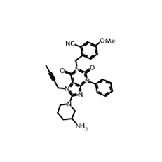 CC#CCn1c(N2CCCC(N)C2)nc2c1c(=O)n(Cc1ccc(OC)cc1C#N)c(=O)n2-c1ccccc1